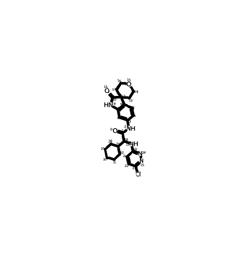 O=C(Nc1ccc2c(c1)NC(=O)C21CCOCC1)C(Nc1ccc(Cl)nn1)C1CCCCC1